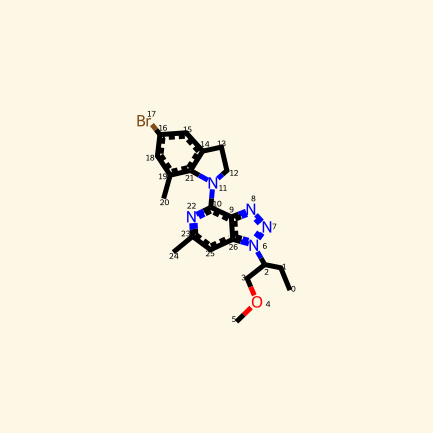 CCC(COC)n1nnc2c(N3CCc4cc(Br)cc(C)c43)nc(C)cc21